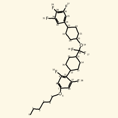 CCCCCCOc1cc(F)c(C2CCC(C(F)(F)OC3CCC(c4cc(F)c(F)c(F)c4)CC3)CC2)c(F)c1